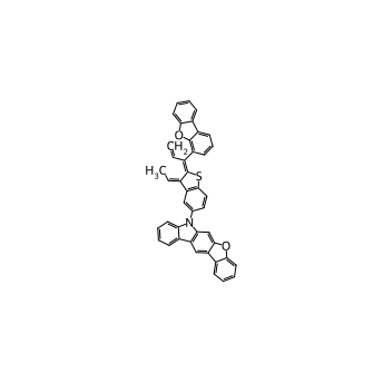 C=C/C(c1cccc2c1oc1ccccc12)=c1/sc2ccc(-n3c4ccccc4c4cc5c(cc43)oc3ccccc35)cc2/c1=C/C